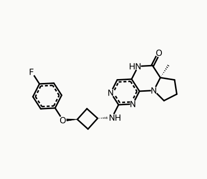 C[C@]12CCCN1c1nc(N[C@H]3C[C@H](Oc4ccc(F)cc4)C3)ncc1NC2=O